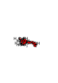 COC(=O)C[C@](O)(CCCC(C)(C)O)C(=O)O[C@@H]1C(OC)=C[C@]23CCCN2C(OC(=O)c2ccc(-c4ccc5cc(O)c(C67CC8CC(CC(C8)C6)C7)cc5c4)cc2)Cc2cc4c(cc2[C@H]13)OCO4